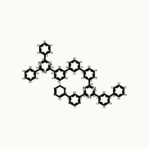 C1=CCCC(c2cccc(-c3nc(-c4cccc(-c5ccccc5)c4)nc(-c4cccc(-c5cccc(-c6cccc(-c7nc(-c8ccccc8)nc(-c8ccccc8)n7)c6)c5)c4)n3)c2)=C1